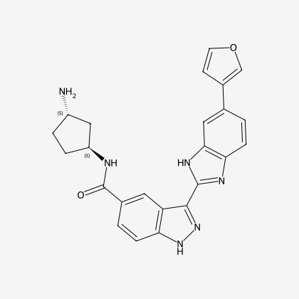 N[C@H]1CC[C@H](NC(=O)c2ccc3[nH]nc(-c4nc5ccc(-c6ccoc6)cc5[nH]4)c3c2)C1